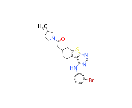 CC1CCN(C(=O)CC2CCc3c(sc4ncnc(Nc5cccc(Br)c5)c34)C2)C1